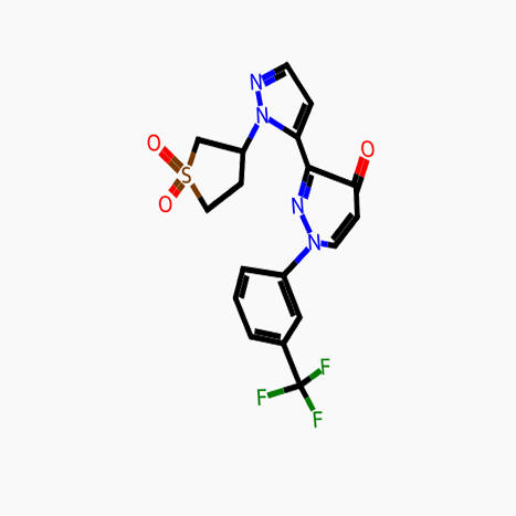 O=c1ccn(-c2cccc(C(F)(F)F)c2)nc1-c1ccnn1C1CCS(=O)(=O)C1